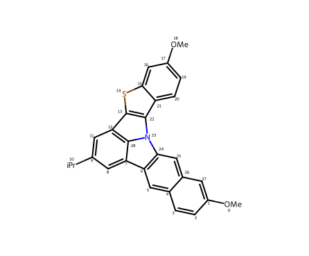 COc1ccc2cc3c4cc(C(C)C)cc5c6sc7cc(OC)ccc7c6n(c3cc2c1)c45